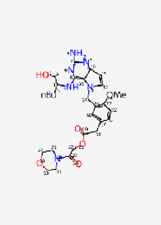 CCCC[C@@H](CO)Nc1nc(N)nc2ccn(Cc3cc(CC(=O)OCC(=O)N4CCOCC4)ccc3OC)c12